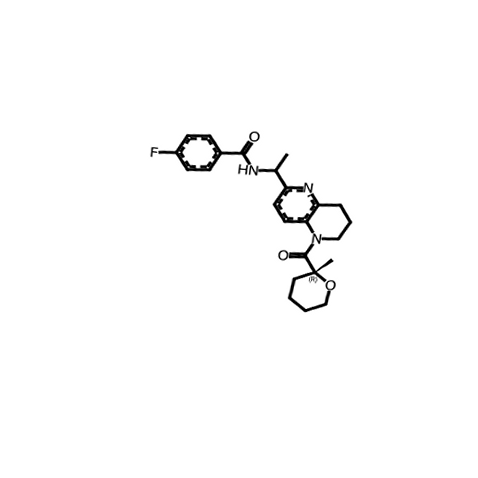 CC(NC(=O)c1ccc(F)cc1)c1ccc2c(n1)CCCN2C(=O)[C@@]1(C)CCCCO1